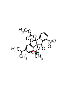 COC(=O)OC12Oc3cc(C(C)C)ccc3C1(NC(C)=O)C(=O)c1c([N+](=O)[O-])cccc12